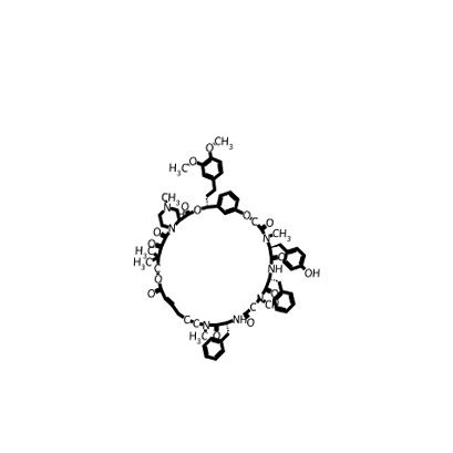 COc1ccc(CC[C@H]2OC(=O)[C@@H]3CN(C)CCN3C(=O)C(=O)C(C)(C)COC(=O)/C=C/CCCN(C)C(=O)[C@@H](Cc3ccccc3)NC(=O)CN(C)C(=O)[C@@H](Cc3ccccc3)NC(=O)[C@H](Cc3ccc(O)cc3)N(C)C(=O)COc3cccc2c3)cc1OC